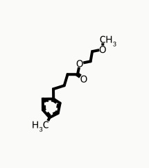 COCCOC(=O)CCCc1ccc(C)cc1